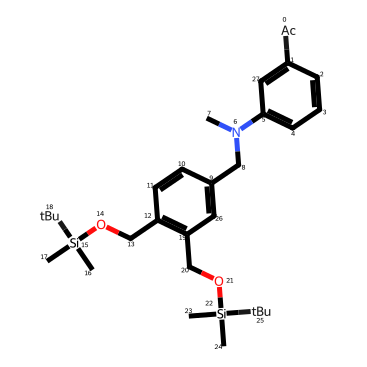 CC(=O)c1cccc(N(C)Cc2ccc(CO[Si](C)(C)C(C)(C)C)c(CO[Si](C)(C)C(C)(C)C)c2)c1